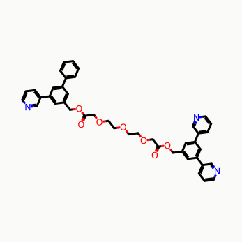 O=C(COCCOCCOCC(=O)OCc1cc(-c2cccnc2)cc(-c2cccnc2)c1)OCc1cc(-c2ccccc2)cc(-c2cccnc2)c1